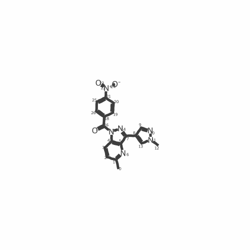 Cc1ccc2c(n1)c(-c1cnn(C)c1)nn2C(=O)c1ccc([N+](=O)[O-])cc1